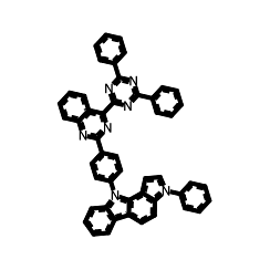 c1ccc(-c2nc(-c3ccccc3)nc(-c3nc(-c4ccc(-n5c6ccccc6c6ccc7c(ccn7-c7ccccc7)c65)cc4)nc4ccccc34)n2)cc1